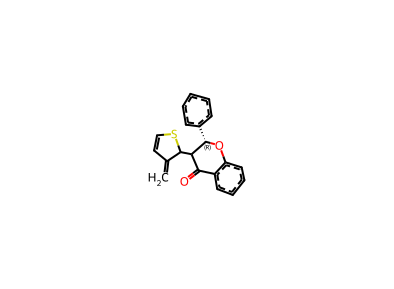 C=C1C=CSC1C1C(=O)c2ccccc2O[C@H]1c1ccccc1